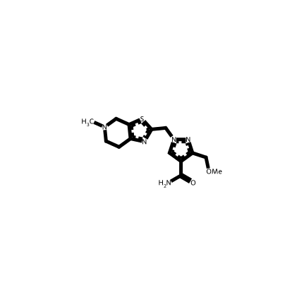 COCc1nn(Cc2nc3c(s2)CN(C)CC3)cc1C(N)=O